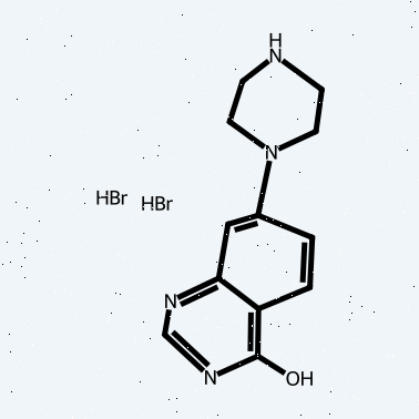 Br.Br.Oc1ncnc2cc(N3CCNCC3)ccc12